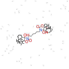 CC1(C)OC(=O)N(CCCCCCN2C(=O)OC(C)(C)[C@]2(O)c2ccccc2)[C@@]1(O)c1ccccc1